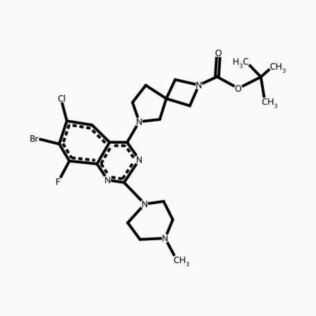 CN1CCN(c2nc(N3CCC4(CN(C(=O)OC(C)(C)C)C4)C3)c3cc(Cl)c(Br)c(F)c3n2)CC1